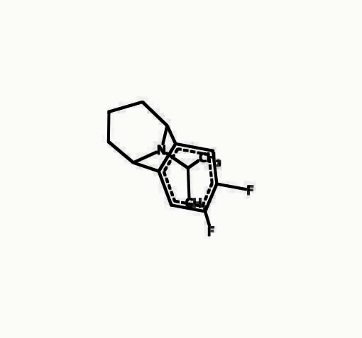 CC(C)N1C2CCCC1c1cc(F)c(F)cc12